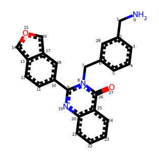 NCc1cccc(Cn2c(-c3ccc4cocc4c3)nc3ccccc3c2=O)c1